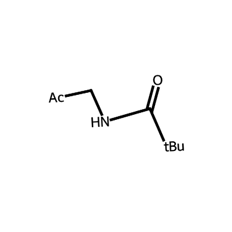 CC(=O)CNC(=O)C(C)(C)C